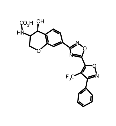 O=C(O)NC1COc2cc(-c3noc(-c4onc(-c5ccccc5)c4C(F)(F)F)n3)ccc2[C@@H]1O